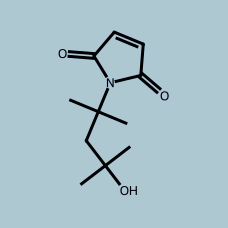 CC(C)(O)CC(C)(C)N1C(=O)C=CC1=O